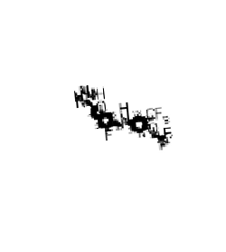 Fc1cc2cc(-c3nnn[nH]3)oc2cc1CNc1ccc(OCC(F)F)c(C(F)(F)F)c1